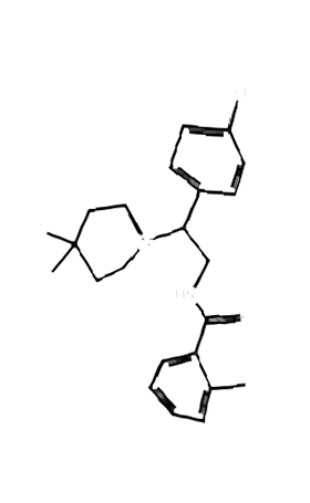 Cc1ccccc1C(=O)NCC(c1ccc(Cl)cc1)N1CCC(F)(F)CC1